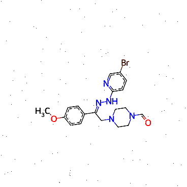 COc1ccc(C(CN2CCN(C=O)CC2)=NNc2ccc(Br)cn2)cc1